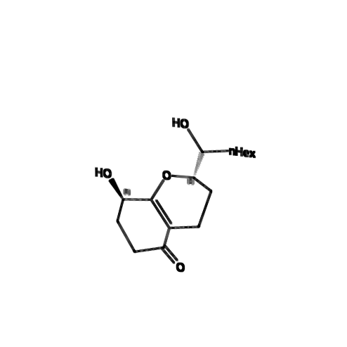 CCCCCCC(O)[C@@H]1CCC2=C(O1)[C@H](O)CCC2=O